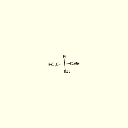 CCCCC(CC)(OC)C(=O)O